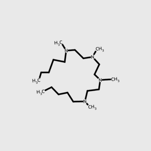 CCCCCN(C)CCN(C)CCN(C)CCN(C)CCCCC